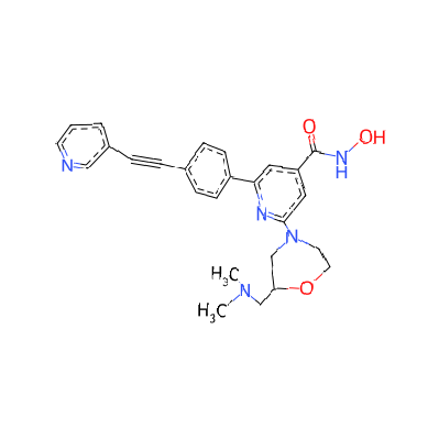 CN(C)CC1CN(c2cc(C(=O)NO)cc(-c3ccc(C#Cc4cccnc4)cc3)n2)CCO1